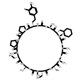 CCC(C)[C@@H]1NC(=O)[C@H](CC(C)C)N(C)C(=O)C[C@@H](C)NC(=O)[C@H](CC(C)C)N(C)C(=O)C2(CCCC2)NC(=O)[C@@H]2CCCN2C(=O)[C@H](CCc2ccc(C(F)(F)F)c(F)c2)NC(=O)CN(C)C(=O)[C@H](CC2CCCCC2)N(C)C(=O)CN(C)C(=O)CN(C)C1=O